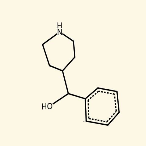 OC(c1[c]cccc1)C1CCNCC1